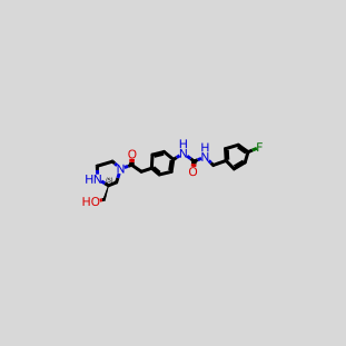 O=C(NCc1ccc(F)cc1)Nc1ccc(CC(=O)N2CCN[C@H](CO)C2)cc1